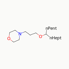 CCCCCCCC(CCCCC)OCCCN1CCOCC1